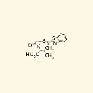 C=C(C)[C@H](C(=O)O)N1C(=O)C[C@H]1SSc1nc2ccccc2s1